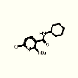 CCCCc1nc(Cl)ccc1C(=O)NC1CCCCC1